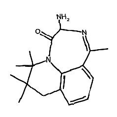 CC1=NC(N)C(=O)N2c3c(cccc31)CC(C)(C)C2(C)C